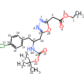 CCOC(=O)Cc1nnc(CC(Cc2ccc(Cl)cc2)NC(=O)OC(C)(C)C)o1